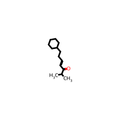 CC(C)C(=O)/C=C/CCC1CCCCC1